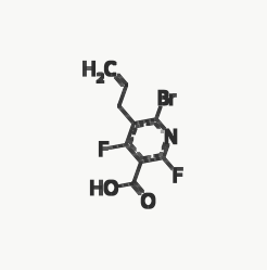 C=CCc1c(Br)nc(F)c(C(=O)O)c1F